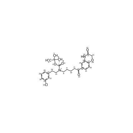 CC(C)(C)OC(=O)N(CCCCC(=O)c1ccc2c(c1)NC(=O)CO2)CCc1cccc(Cl)c1